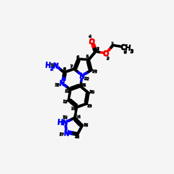 CCOC(=O)c1cc2c(N)nc3cc(-c4ccn[nH]4)ccc3n2c1